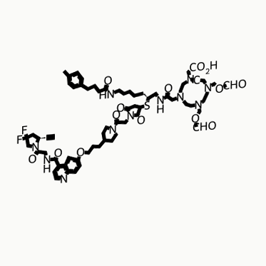 C#C[C@H]1CC(F)(F)CN1C(=O)CNC(=O)c1ccnc2ccc(OCCCC3CCN(C(=O)CN4C(=O)CC(S[C@H](CCCCCNC(=O)CCCc5ccc(C)cc5)CNC(=O)CN5CCN(COC=O)CCN(COC=O)CCN(CC(=O)O)CC5)C4=O)CC3)cc12